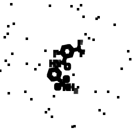 NS(=O)(=O)c1cccc(NC(=O)c2cc(C(F)F)ccc2F)c1